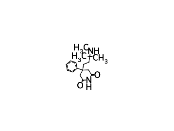 CNC(C)(C)CCC1(c2ccccc2)CC(=O)NC(=O)C1